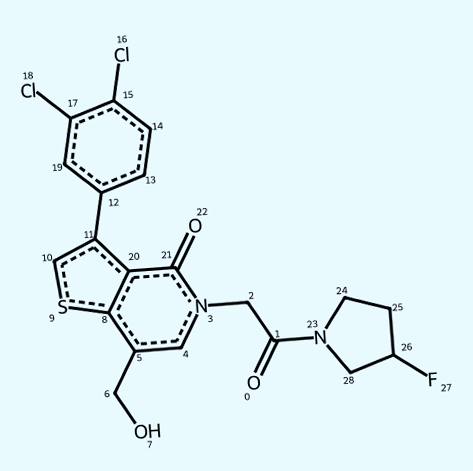 O=C(Cn1cc(CO)c2scc(-c3ccc(Cl)c(Cl)c3)c2c1=O)N1CCC(F)C1